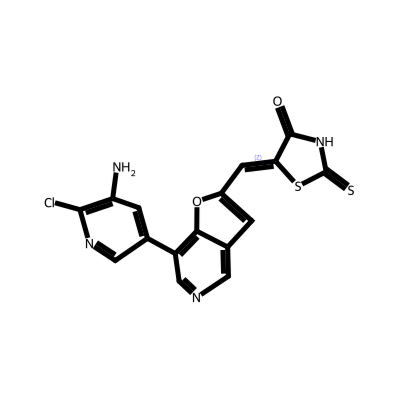 Nc1cc(-c2cncc3cc(/C=C4\SC(=S)NC4=O)oc23)cnc1Cl